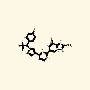 CC(F)(F)[C@@H](c1ccc(F)cc1)n1cc(-c2ccnc(-c3cc(F)c4nc(N)nn4c3)n2)cn1